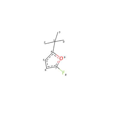 CC(C)(C)c1ccc(F)o1